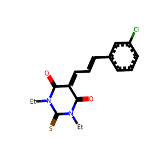 CCN1C(=O)C(=C/C=C/c2cccc(Cl)c2)C(=O)N(CC)C1=S